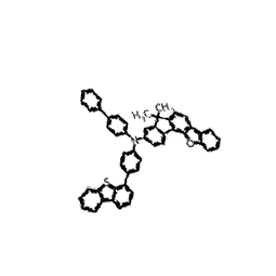 CC1(C)c2cc(N(c3ccc(-c4ccccc4)cc3)c3ccc(-c4cccc5c4sc4ccccc45)cc3)ccc2-c2c1ccc1c2oc2ccccc21